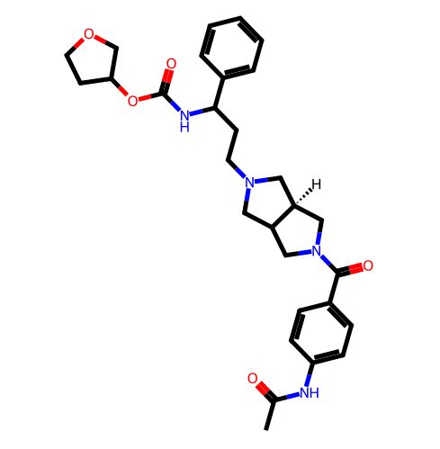 CC(=O)Nc1ccc(C(=O)N2CC3CN(CCC(NC(=O)OC4CCOC4)c4ccccc4)C[C@H]3C2)cc1